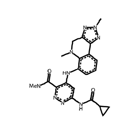 CNC(=O)c1nnc(NC(=O)C2CC2)cc1Nc1cccc2c1N(C)Cc1nn(C)nc1-2